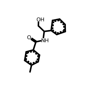 Cc1ccc(C(=O)NC(CO)c2ccccc2)cc1